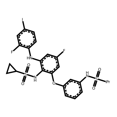 CC(C)S(=O)(=O)Nc1cccc(Oc2cc(F)cc(Nc3ccc(I)cc3F)c2NS(=O)(=O)C2CC2)c1